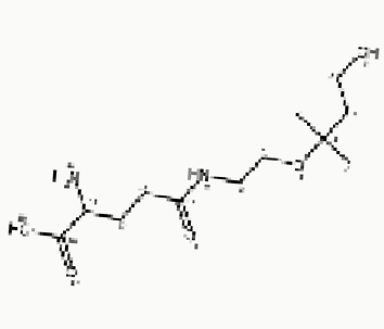 CC(C)(CCO)OCCNC(=O)CCC(N)C(=O)O